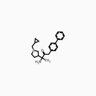 CC(N)(C(=O)Cc1ccc(-c2ccccc2)cc1)C1CCN(CC2CC2)C1